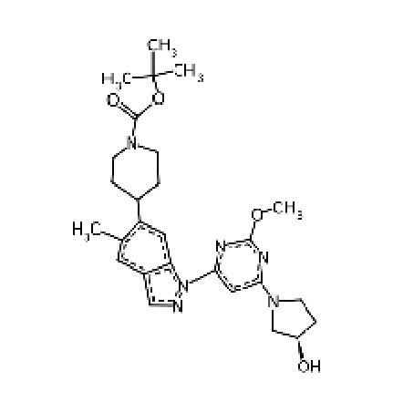 COc1nc(N2CC[C@@H](O)C2)cc(-n2ncc3cc(C)c(C4CCN(C(=O)OC(C)(C)C)CC4)cc32)n1